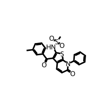 Cc1cccc(C(=O)c2c(NS(C)(=O)=O)sc3c2ccc(=O)n3-c2ccccc2)c1